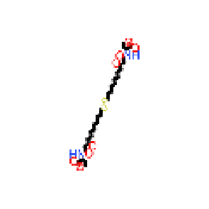 O=C(CCCCCCCCCSSCCCCCCCCCC(=O)CC(=O)NC1CCOC1=O)CC(=O)NC1CCOC1=O